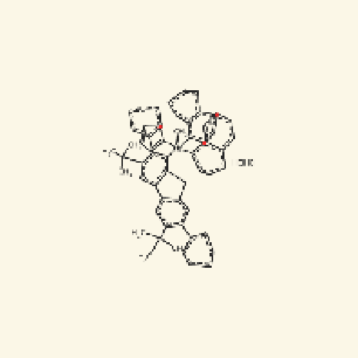 Cl.Cl.[CH2]=[Hf]([C]1=CC=CC1)([c]1c2c(cc(C(C)(C)C)c1-c1ccccc1)-c1cc(C(C)(C)C)c(-c3ccccc3)cc1C2)([c]1cccc2ccccc12)[c]1cccc2ccccc12